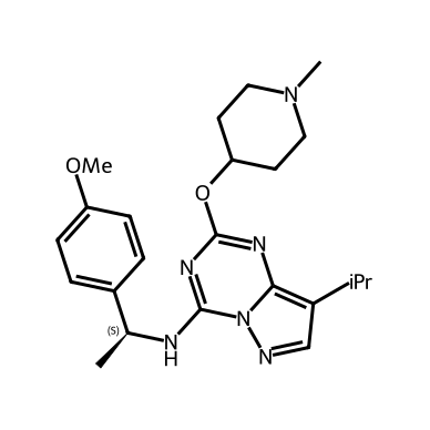 COc1ccc([C@H](C)Nc2nc(OC3CCN(C)CC3)nc3c(C(C)C)cnn23)cc1